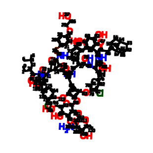 CC[C@@H](CC(C)C)C(=O)N[C@H]1C(=O)C[C@@H](CC(=O)NSc2ccc(OCCO)cc2)C(=O)N[C@H]2C(=O)C[C@@H]3C(=O)N[C@@H](C(=O)N[C@H](C(=O)CC4C5CC6CC(C5)CC4C6)c4cc(O)cc(O)c4-c4cc3ccc4O)[C@@H](O)c3ccc(c(Cl)c3)Oc3cc2cc(c3O[C@@H]2O[C@H](CO)[C@H](O)[C@H](O)[C@@H]2O[C@H]2C[C@](C)(N)[C@H](O)[C@H](C)O2)Oc2ccc(cc2Cl)[C@H]1O